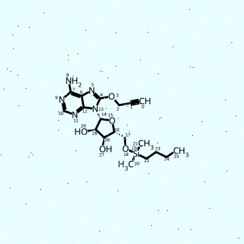 C#CCOc1nc2c(N)ncnc2n1[C@@H]1O[C@H](CO[Si](C)(C)CCCC)[C@@H](O)[C@H]1O